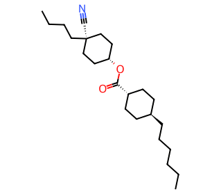 CCCCCC[C@H]1CC[C@H](C(=O)O[C@H]2CC[C@](C#N)(CCCC)CC2)CC1